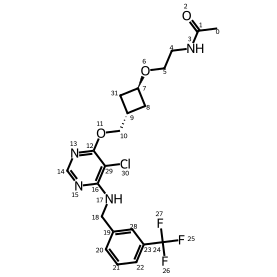 CC(=O)NCCO[C@H]1C[C@H](COc2ncnc(NCc3cccc(C(F)(F)F)c3)c2Cl)C1